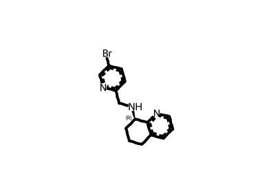 Brc1ccc(CN[C@@H]2CCCc3cccnc32)nc1